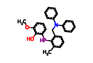 COc1cccc(Pc2c(C)cccc2CN(c2ccccc2)c2ccccc2)c1O